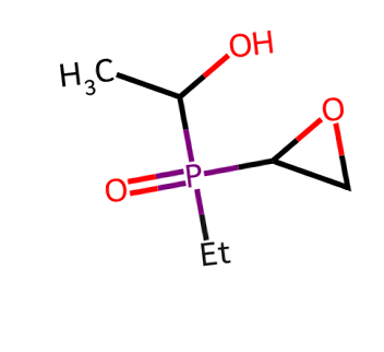 CCP(=O)(C(C)O)C1CO1